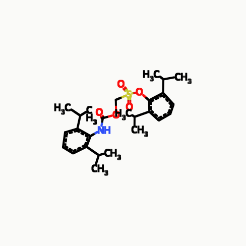 CC(C)c1cccc(C(C)C)c1NC(=O)OCS(=O)(=O)Oc1c(C(C)C)cccc1C(C)C